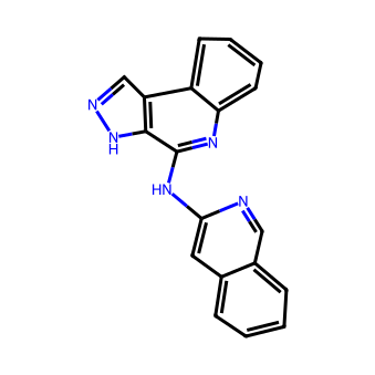 c1ccc2cc(Nc3nc4ccccc4c4cn[nH]c34)ncc2c1